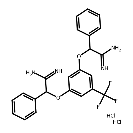 Cl.Cl.N=C(N)C(Oc1cc(OC(C(=N)N)c2ccccc2)cc(C(F)(F)F)c1)c1ccccc1